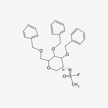 CS(=O)(F)=N[C@@H]1COC(COCc2ccccc2)C(OCc2ccccc2)C1OCc1ccccc1